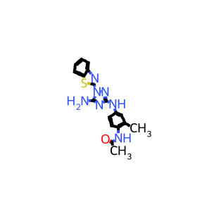 CC(=O)Nc1ccc(Nc2nc(N)n(-c3nc4ccccc4s3)n2)cc1C